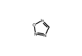 [CH]1=[In][O]N=N1